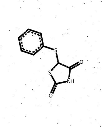 O=C1NC(=O)C(Sc2ccccc2)S1